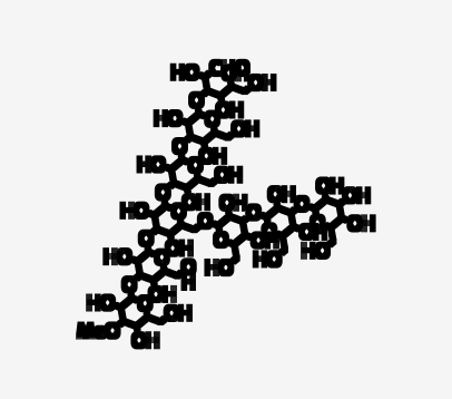 COC1C(O)C(CO)OC(OC2C(O)C(CO)OC(OC3C(O)C(COC4OC(CO)C(O)C(OC5OC(CO)C(O)C(OC6OC(CO)C(O)C(O)C6O)C5O)C4O)OC(OC4C(O)C(CO)OC(OC5C(O)C(CO)OC(OC(C(O)C=O)C(O)C(O)CO)C5O)C4O)C3O)C2O)C1O